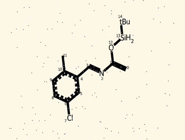 C=C(/N=C/c1cc(Cl)ccc1C)O[SiH2]C(C)(C)C